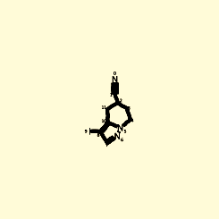 N#CC1CCn2ncc(I)c2C1